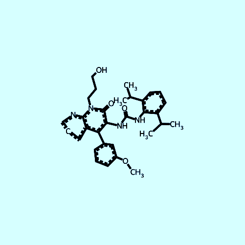 COc1cccc(-c2c(NC(=O)Nc3c(C(C)C)cccc3C(C)C)c(=O)n(CCCO)c3ncccc23)c1